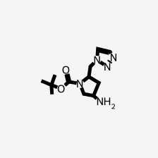 CC(C)(C)OC(=O)N1CC(N)CC1Cn1ccnn1